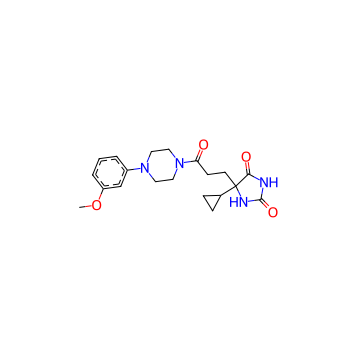 COc1cccc(N2CCN(C(=O)CCC3(C4CC4)NC(=O)NC3=O)CC2)c1